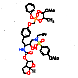 COC(=O)[C@@H](C)OP(=O)(COc1ccc(C[C@H](NC(=O)O[C@H]2CO[C@H]3OCCC32)[C@H](O)CN(CC(C)C)S(=O)(=O)c2ccc(OC)cc2)cc1)Oc1ccccc1